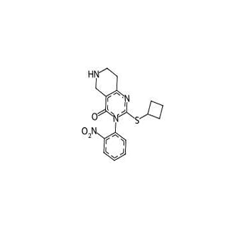 O=c1c2c(nc(SC3CCC3)n1-c1ccccc1[N+](=O)[O-])CCNC2